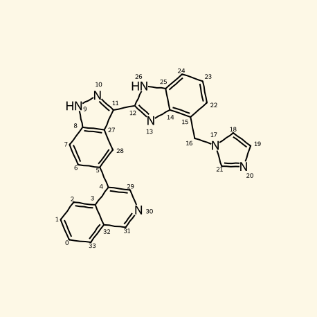 c1ccc2c(-c3ccc4[nH]nc(-c5nc6c(Cn7ccnc7)cccc6[nH]5)c4c3)cncc2c1